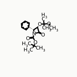 COC(C)(C)O[C@@H]1C(=O)N(C(=O)OC(C)(C)C)[C@@H]1c1ccccc1